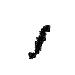 C=CC(=O)OCCCOc1ccc(C(=O)Oc2ccc(OC(=O)c3ccc(OCOC(=O)C=C)cc3)c(C)c2)cc1